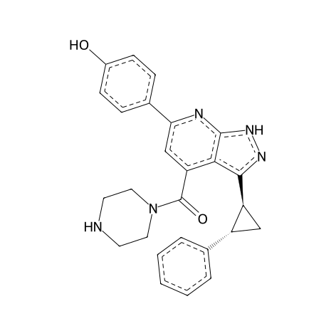 O=C(c1cc(-c2ccc(O)cc2)nc2[nH]nc([C@H]3C[C@@H]3c3ccccc3)c12)N1CCNCC1